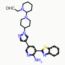 Nc1ncc(-c2cnn(C3CCN(C4CCCCN4CC=O)CC3)c2)cc1-c1nc2ccccc2s1